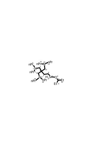 CCCN(CCC)CC(CC[SiH2]OC(CC)CC)(CN(CCC)CCC)CN(CCC)CCC